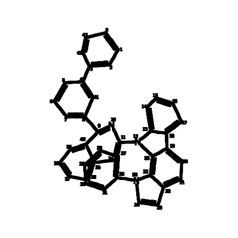 c1ccc(-c2cccc(-c3nc(-n4c5ccccc5c5ccc6ccn(-c7ccccc7)c6c54)nc4ccccc34)c2)cc1